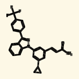 NC(=O)C=Cc1cc(C2CC2)cc(-n2nc(-c3ccc(C(F)(F)F)cc3)c3ccccc32)c1